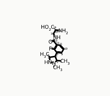 CC1NN(C)C(C)C1c1cccc(C(=O)NC[C@@H](N)C(=O)O)c1F